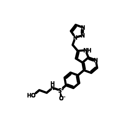 [O-][S@@+](NCCO)c1ccc(-c2ccnc3[nH]c(Cn4ccnn4)cc23)cc1